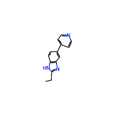 CCc1nc2cc(-c3ccncc3)ccc2[nH]1